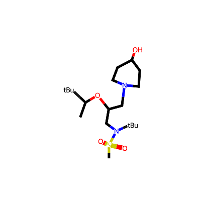 CC(OC(CN1CCC(O)CC1)CN(C(C)(C)C)S(C)(=O)=O)C(C)(C)C